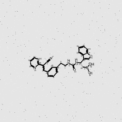 N#CC(=Cc1cccc(CCNC(=O)N[C@@H](CB(O)O)c2coc3ccccc23)c1)c1ncccn1